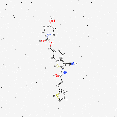 N#Cc1c(NC(=O)C=Cc2cccs2)sc2c1CCC(COC(=O)N1CCC(O)CC1)C2